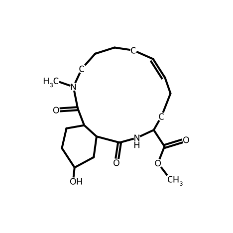 COC(=O)C1CCC=CCCCCN(C)C(=O)C2CCC(O)CC2C(=O)N1